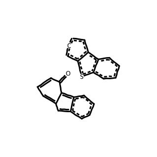 O=C1C=CC=C2C=c3ccccc3=C12.c1ccc2c(c1)sc1ccccc12